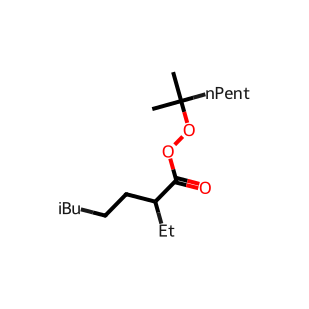 CCCCCC(C)(C)OOC(=O)C(CC)CCC(C)CC